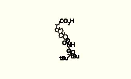 CC(CCC(=O)O)C1CCC2C3CCC4CC(OC(=O)NCCOC(=O)C(C)(CC(C)(C)C)C(C)(C)C)CCC4(C)C3CCC12C